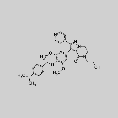 COc1cc(-c2c(-c3ccncc3)nn3c2C(=O)N(CCO)CC3)cc(OC)c1OCc1ccc(C(C)C)cc1